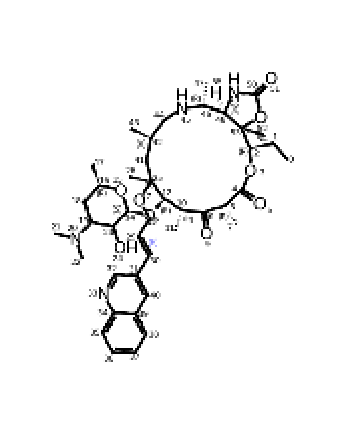 CC[C@H]1OC(=O)[C@H](C)C(=O)[C@H](C)[C@@H](O[C@@H]2O[C@H](C)CC(N(C)C)C2O)[C@](C)(OC/C=C/c2cnc3ccccc3c2)C[C@@H](C)CN[C@H](C)[C@H]2NC(=O)O[C@@]21C